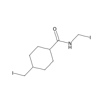 O=C(NCI)C1CCC(CI)CC1